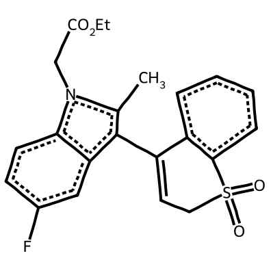 CCOC(=O)Cn1c(C)c(C2=CCS(=O)(=O)c3ccccc32)c2cc(F)ccc21